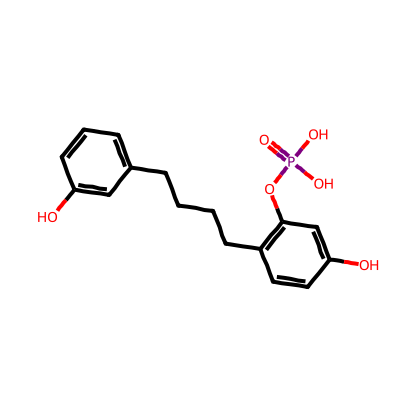 O=P(O)(O)Oc1cc(O)ccc1CCCCc1cccc(O)c1